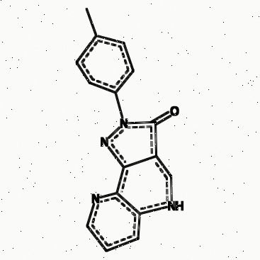 Cc1ccc(-n2nc3c4ncccc4[nH]cc-3c2=O)cc1